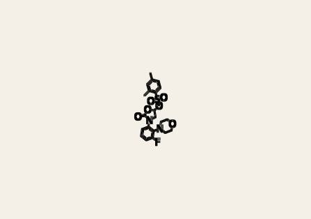 Cc1ccc(S(=O)(=O)OC2CN(c3cccc(F)c3N3CCOCC3)C(=O)O2)c(C)c1